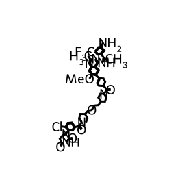 COc1cc2nc(C)nc(N[C@H](C)c3cc(N)cc(C(F)(F)F)c3)c2cc1C1=CCC(C(=O)N2CCC(CCOCC3CCN(C(=O)c4ccc(Cl)c(N5CCC(=O)NC5=O)c4)CC3)CC2)CC1